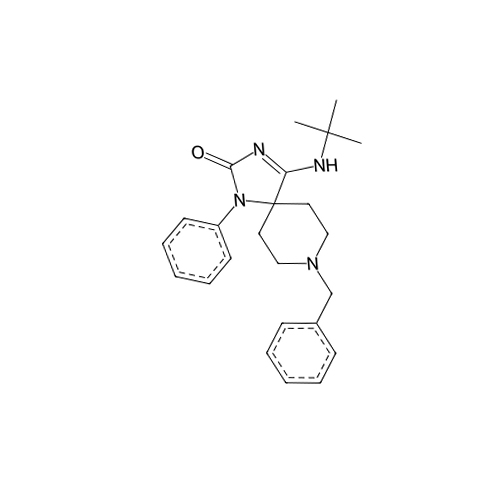 CC(C)(C)NC1=NC(=O)N(c2ccccc2)C12CCN(Cc1ccccc1)CC2